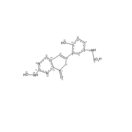 O=C1CC(c2cc(NS(=O)(=O)O)ccc2O)=Cc2cnc(NO)nc21